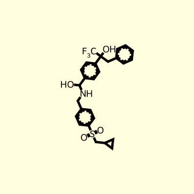 O=S(=O)(CC1CC1)c1ccc(CNC(O)c2ccc(C(O)(Cc3ccccc3)C(F)(F)F)cc2)cc1